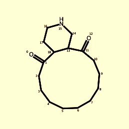 O=C1CCCCCCCCCC(=O)C2CNCCC12